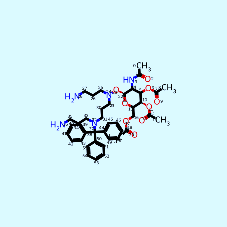 CC(=O)NC1C(OC(C)=O)[C@@H](OC(C)=O)C(COC(C)=O)O[C@H]1ON(CCCN)CCCN(CCCN)C(c1ccccc1)(c1ccccc1)c1ccccc1